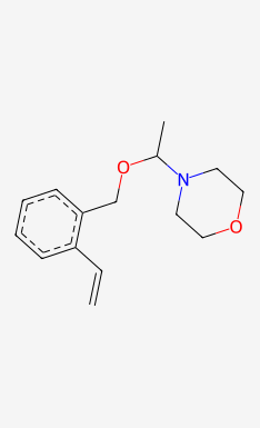 C=Cc1ccccc1COC(C)N1CCOCC1